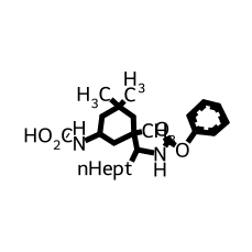 CCCCCCCC(NC(=O)Oc1ccccc1)C1(C)CC(NC(=O)O)CC(C)(C)C1